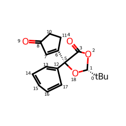 CC(C)(C)[C@H]1OC(=O)[C@](C2=CC(=O)CC2)(c2ccccc2)O1